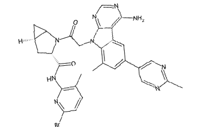 Cc1ncc(-c2cc(C)c3c(c2)c2c(N)ncnc2n3CC(=O)N2C3C[C@@H]3C[C@H]2C(=O)Nc2nc(Br)ccc2C)cn1